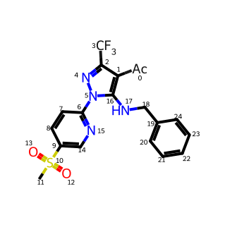 CC(=O)c1c(C(F)(F)F)nn(-c2ccc(S(C)(=O)=O)cn2)c1NCc1ccccc1